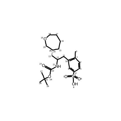 Cc1ccc(S(=O)(=O)O)cc1CC(C[C@H]1CCCCOC1)NC(=O)OC(C)(C)C